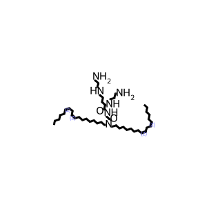 CCCCC/C=C\C/C=C\CCCCCCCCN(CCCCCCCC/C=C\C/C=C\CCCCC)C(=O)CNC(=O)C(CCCNCCCN)NCCCN